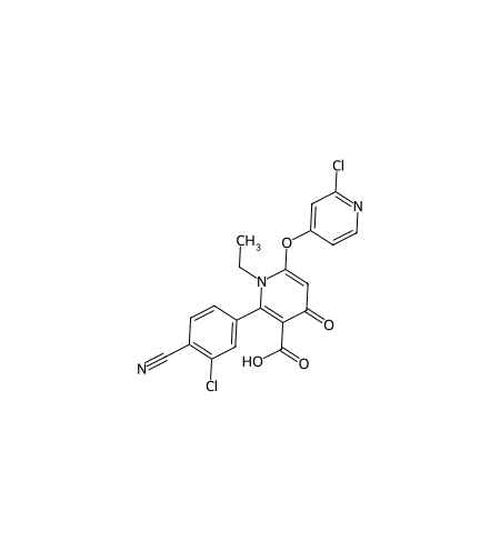 CCn1c(Oc2ccnc(Cl)c2)cc(=O)c(C(=O)O)c1-c1ccc(C#N)c(Cl)c1